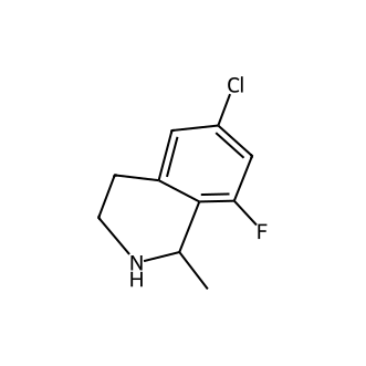 CC1NCCc2cc(Cl)cc(F)c21